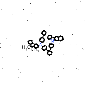 CC1(C)c2ccccc2-c2cc(N(c3ccc(-c4ccccc4)cc3)c3ccc(-c4ccccc4-c4ccc(-n5c6ccccc6c6cc7ccccc7cc65)cc4)cc3)ccc21